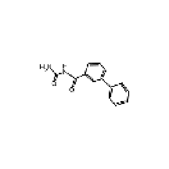 NC(=O)NC(=O)c1cccc(-c2ccccc2)c1